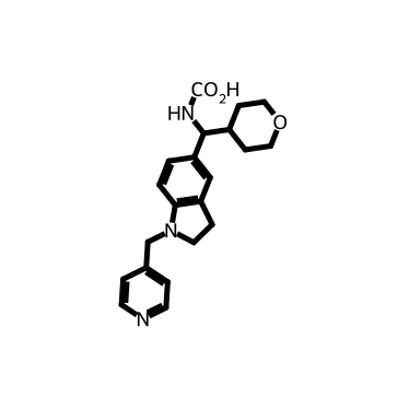 O=C(O)NC(c1ccc2c(c1)CCN2Cc1ccncc1)C1CCOCC1